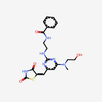 CN(CCO)c1cc(C=C2SC(=O)NC2=O)nc(NCCNC(=O)c2ccccc2)n1